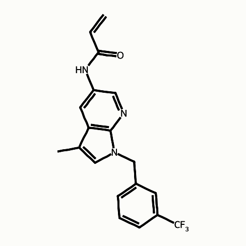 C=CC(=O)Nc1cnc2c(c1)c(C)cn2Cc1cccc(C(F)(F)F)c1